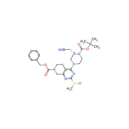 C[S+]([O-])c1nc2c(c(N3CCN(C(=O)OC(C)(C)C)[C@@H](CC#N)C3)n1)CCN(C(=O)OCc1ccccc1)C2